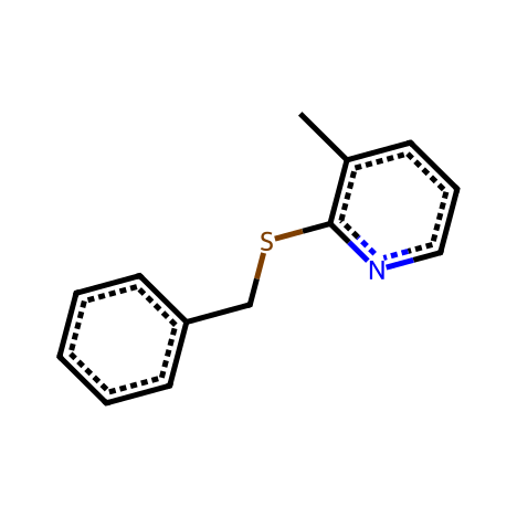 Cc1cccnc1SCc1ccccc1